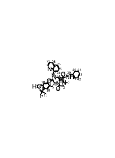 CN1CC(=O)N2[C@@H](Cc3ccc(O)c(C(C)(C)C)c3)C(=O)N(Cc3cccc4cccnc34)C[C@@H]2N1C(=O)NCc1ccccc1